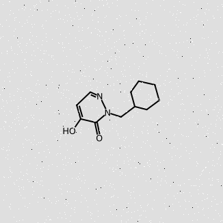 O=c1c(O)ccnn1CC1CCCCC1